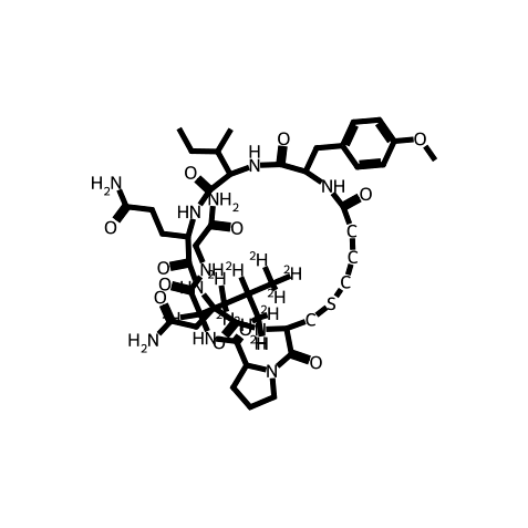 [2H]C([2H])([2H])C([2H])(C([2H])([2H])[2H])C([2H])([2H])C([2H])(NC(=O)C1CCCN1C(=O)C1CSCCCC(=O)NC(Cc2ccc(OC)cc2)C(=O)NC(C(C)CC)C(=O)NC(CCC(N)=O)C(=O)NC(CC(N)=O)C(=O)N1)C(=O)NCC(N)=O